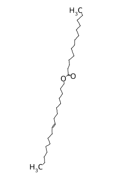 CCCCCCCC/C=C/CCCCCCCCOC(=O)CCCCCCCCCCCCC